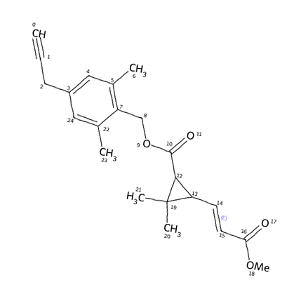 C#CCc1cc(C)c(COC(=O)C2C(/C=C/C(=O)OC)C2(C)C)c(C)c1